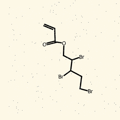 C=CC(=O)OCC(Br)C(Br)CCBr